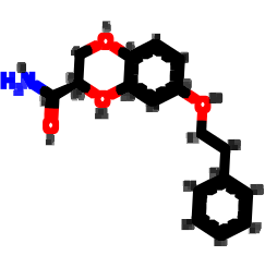 NC(=O)[C@H]1COc2ccc(OCCc3ccccc3)cc2O1